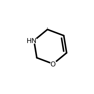 [CH]1C=COCN1